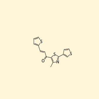 Cc1nc(-c2ccsc2)sc1C(=O)/C=C/c1cccs1